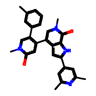 Cc1cccc(-c2cn(C)c(=O)cc2-c2cn(C)c(=O)c3[nH]c(-c4cc(C)nc(C)c4)cc23)c1